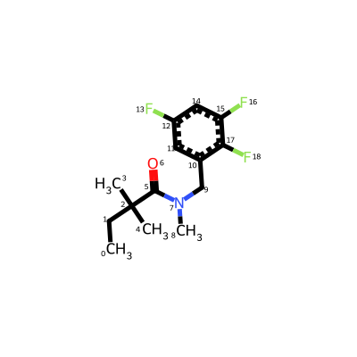 CCC(C)(C)C(=O)N(C)Cc1cc(F)cc(F)c1F